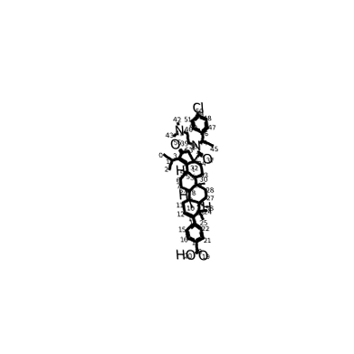 CC(C)C1=C2[C@H]3CC[C@@H]4[C@@]5(C)CC=C(c6ccc(C(=O)O)cc6)C(C)(C)[C@@H]5CC[C@@]4(C)[C@]3(C)CC[C@@]2(C(=O)N(CCN(C)C)C(C)c2ccc(Cl)cc2)CC1=O